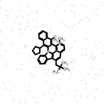 Cc1c2ccccc2c(C2CCCC2)c2c1c1c3c(cc[n+]1C)cc(CC(C)(C)C)c1c4ccccc4n2c13